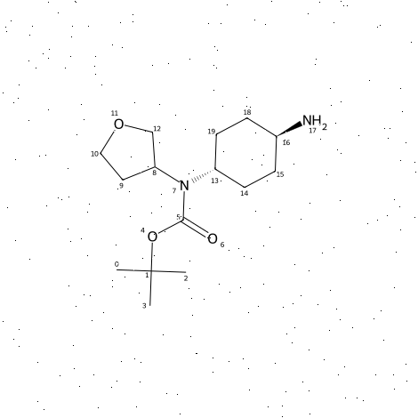 CC(C)(C)OC(=O)N(C1CCOC1)[C@H]1CC[C@H](N)CC1